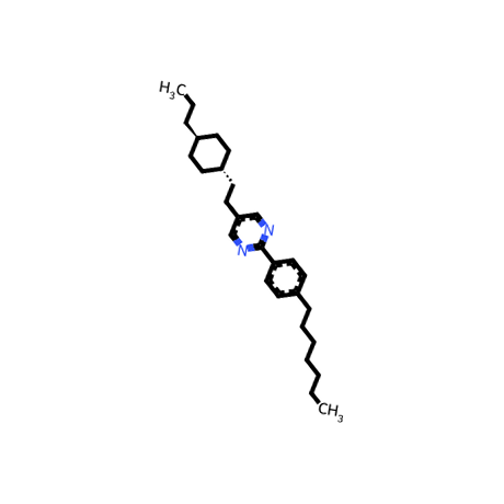 CCCCCCCc1ccc(-c2ncc(CC[C@H]3CC[C@H](CCC)CC3)cn2)cc1